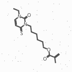 C=C(C)C(=O)OCCCCCCn1c(=S)ccn(CC)c1=O